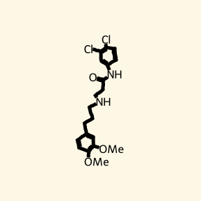 COc1ccc(CCCNCCC(=O)Nc2ccc(Cl)c(Cl)c2)cc1OC